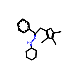 CC1=C(C)C(C)=C(CC(=NNC2CCCCC2)c2ccccc2)C1